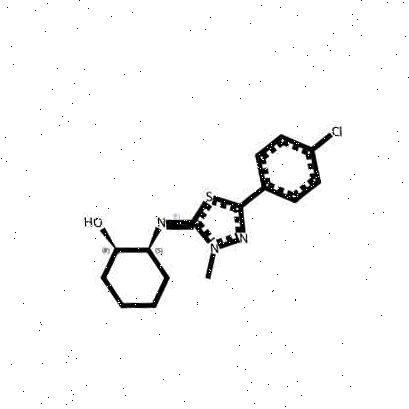 Cn1nc(-c2ccc(Cl)cc2)s/c1=N/[C@H]1CCCC[C@H]1O